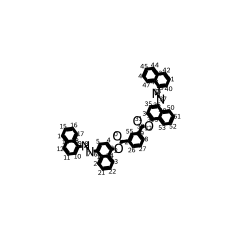 O=C(Oc1ccc(/N=N/c2cccc3ccccc23)c2ccccc12)c1cccc(C(=O)Oc2ccc(/N=N/c3cccc4ccccc34)c3ccccc23)c1